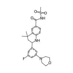 CC1(C)CC(c2cc(F)cc(N3CCOCC3)c2)Nc2ccc(C(=O)NS(C)(=O)=O)cc21